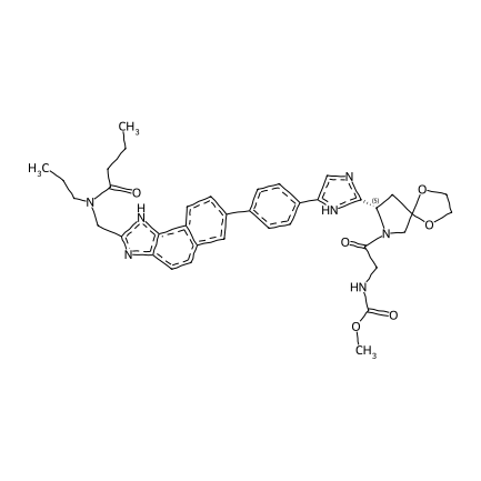 CCCC(=O)N(CCC)Cc1nc2ccc3cc(-c4ccc(-c5cnc([C@@H]6CC7(CN6C(=O)CNC(=O)OC)OCCO7)[nH]5)cc4)ccc3c2[nH]1